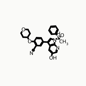 C[SH](=O)(c1ccccc1)n1cc(-c2ccc(OC3CCOCC3)c(C#N)c2)c2cc(O)cnc21